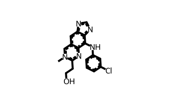 Cn1cc2cc3ncnc3c(Nc3cccc(Cl)c3)c2nc1CCO